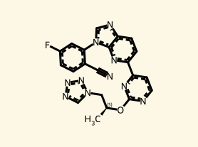 C[C@@H](Cn1cnnn1)Oc1nccc(-c2ccc3ncn(-c4cc(F)ccc4C#N)c3n2)n1